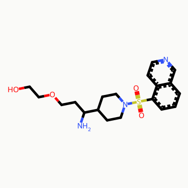 NC(CCOCCO)C1CCN(S(=O)(=O)c2cccc3cnccc23)CC1